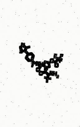 Cc1ncsc1-c1ccc([C@H](C)NC(=O)[C@@H]2C[C@@H](OC(=O)C(F)(F)F)CN2C(=O)[C@@H](N)C(C)(C)C)cc1